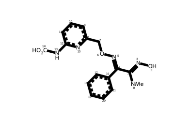 CNC(=NO)C(=NOCc1cccc(NC(=O)O)n1)c1ccccc1